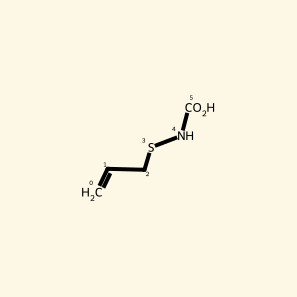 C=CCSNC(=O)O